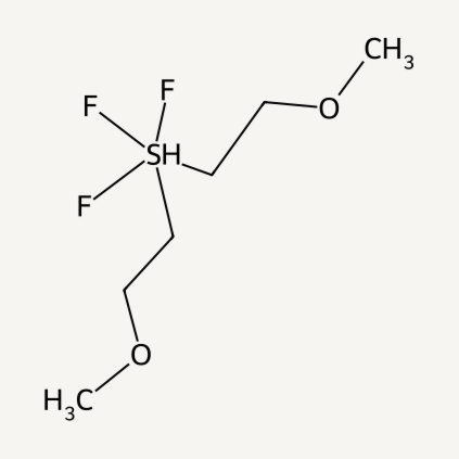 COCC[SH](F)(F)(F)CCOC